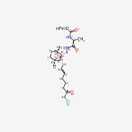 CCCCCC(=O)NC(C)C(=O)NC[C@@H]1[C@H](CC=CCCCC(=O)CCl)[C@@H]2CC[C@H]1O2